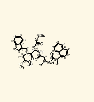 CCOC(OCC)[C@H](C)N(Cc1csc2ccccc12)C(=O)[C@H](CC(=O)OC(C)(C)C)NC(=O)CN(C)NC(=O)N(C)c1cccc2ccccc12